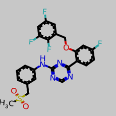 CS(=O)(=O)Cc1cccc(Nc2ncnc(-c3ccc(F)cc3OCc3cc(F)cc(F)c3F)n2)c1